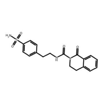 NS(=O)(=O)c1ccc(CCNC(=O)N2CCc3ccccc3C2=O)cc1